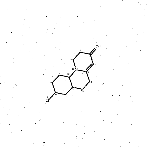 O=C1C=C2CCC3CC(Cl)CCC3N2CC1